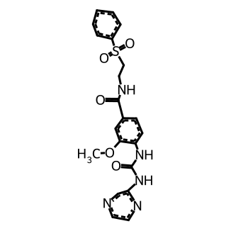 COc1cc(C(=O)NCCS(=O)(=O)c2ccccc2)ccc1NC(=O)Nc1cnccn1